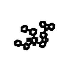 c1ccc(-c2cccc(C3=NC(c4cccc5oc6cc(-n7c8ccccc8c8ccccc87)ccc6c45)=NC(c4cccc(-c5ccccc5)c4)N3)c2)cc1